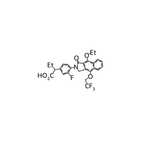 CCOc1c2c(c(OCC(F)(F)F)c3ccccc13)CN(c1ccc(C(CC)C(=O)O)cc1F)C2=O